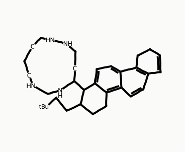 CC(C)(C)CCC1CCc2c(ccc3c4c(ccc23)C=CCC4)C1C1CCNNCCCCNCN1